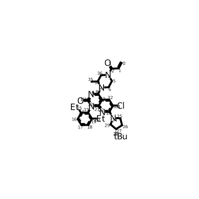 C=CC(=O)N1CCN(c2nc(=O)n(-c3c(CC)cccc3CC)c3nc(N4CC[C@H](C(C)(C)C)C4)c(Cl)cc23)C(C)C1